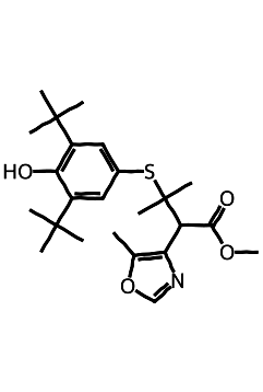 COC(=O)C(c1ncoc1C)C(C)(C)Sc1cc(C(C)(C)C)c(O)c(C(C)(C)C)c1